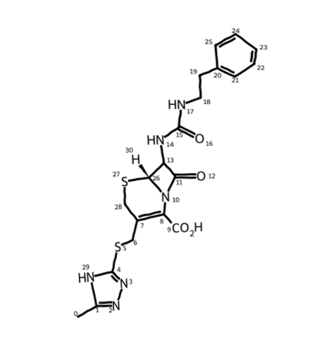 Cc1nnc(SCC2=C(C(=O)O)N3C(=O)C(NC(=O)NCCc4ccccc4)[C@H]3SC2)[nH]1